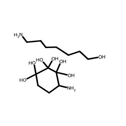 NC1CCC(O)(O)C(O)(O)C1(O)O.NCCCCCCCO